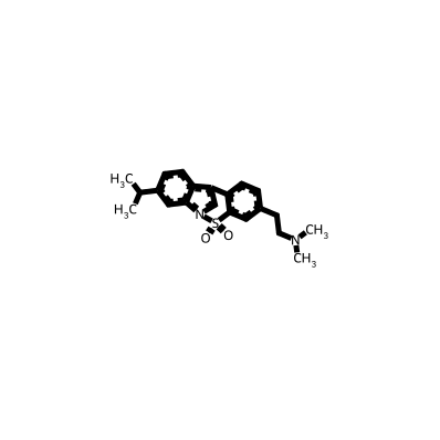 CC(C)c1ccc2c3cn(c2c1)S(=O)(=O)c1cc(CCN(C)C)ccc1-3